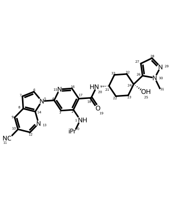 CC(C)Nc1cc(-n2ccc3cc(C#N)cnc32)ncc1C(=O)N[C@H]1CC[C@](O)(c2ccnn2C)CC1